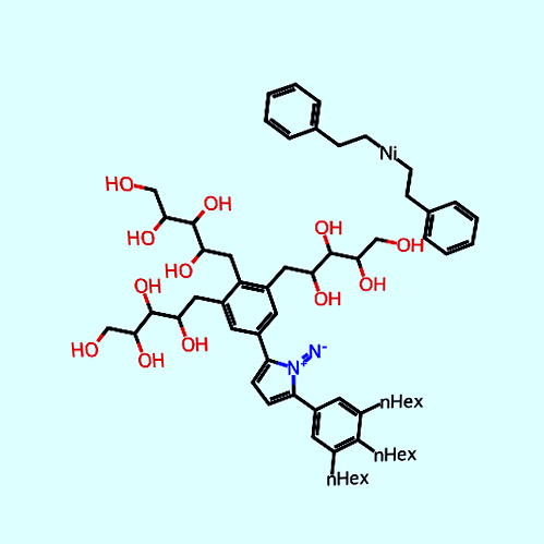 CCCCCCc1cc(C2=CC=C(c3cc(CC(O)C(O)C(O)CO)c(CC(O)C(O)C(O)CO)c(CC(O)C(O)C(O)CO)c3)[N+]2=[N-])cc(CCCCCC)c1CCCCCC.c1ccc(C[CH2][Ni][CH2]Cc2ccccc2)cc1